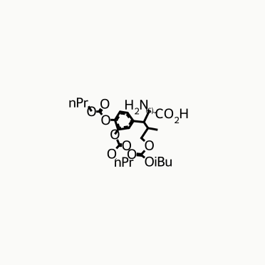 CCCOC(=O)Oc1ccc(C(C(C)COC(=O)OCC(C)C)[C@H](N)C(=O)O)cc1OC(=O)OCCC